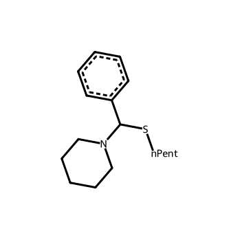 CCCCCSC(c1ccccc1)N1CCCCC1